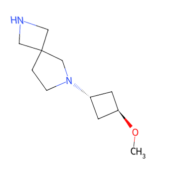 CO[C@H]1C[C@H](N2CCC3(CNC3)C2)C1